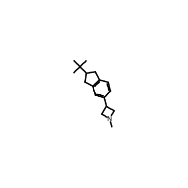 CN1CC(c2ccc3c(c2)CC(C(C)(C)C)C3)C1